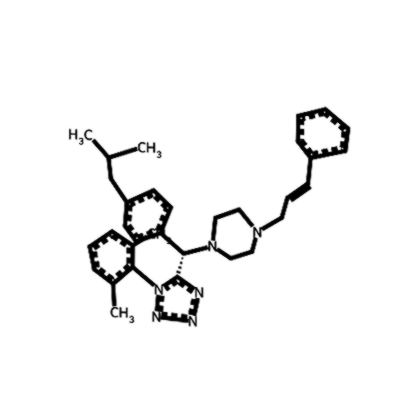 Cc1cccc(C)c1-n1nnnc1[C@H](c1ccc(CC(C)C)cc1)N1CCN(C/C=C/c2ccccc2)CC1